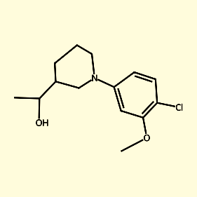 COc1cc(N2CCCC(C(C)O)C2)ccc1Cl